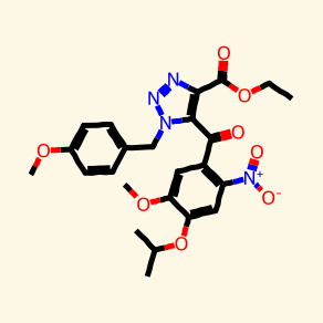 CCOC(=O)c1nnn(Cc2ccc(OC)cc2)c1C(=O)c1cc(OC)c(OC(C)C)cc1[N+](=O)[O-]